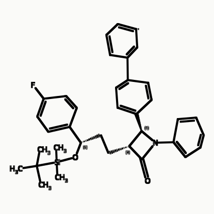 CC(C)(C)[Si](C)(C)O[C@@H](CC[C@H]1C(=O)N(c2ccccc2)[C@@H]1c1ccc(-c2c[c]ccc2)cc1)c1ccc(F)cc1